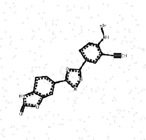 C#Cc1cc(-c2nnc(-c3ccc4[nH]c(=O)oc4c3)o2)ccc1NCCC